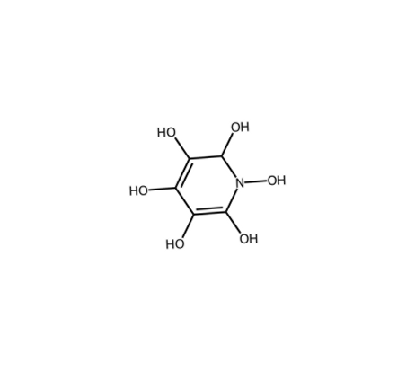 OC1=C(O)C(O)N(O)C(O)=C1O